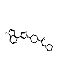 O=C(CN1CCCC1)N1CCC(n2cc(-c3ncnc4[nH]ccc34)cn2)CC1